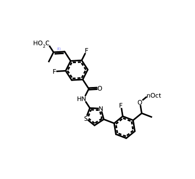 CCCCCCCCOC(C)c1cccc(-c2csc(NC(=O)c3cc(F)c(/C=C(\C)C(=O)O)c(F)c3)n2)c1F